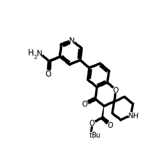 CC(C)(C)OC(=O)[C@H]1C(=O)c2cc(-c3cncc(C(N)=O)c3)ccc2OC12CCNCC2